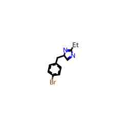 CCC1=NC(Cc2ccc(Br)cc2)C=N1